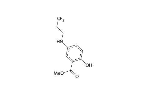 COC(=O)c1cc(NCCC(F)(F)F)ccc1O